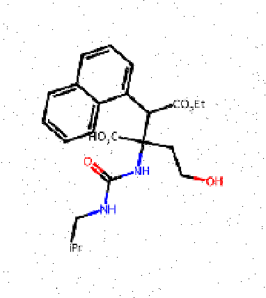 CCOC(=O)C(c1cccc2ccccc12)C(CCO)(NC(=O)NCC(C)C)C(=O)O